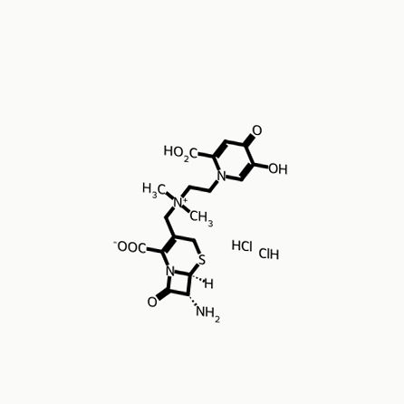 C[N+](C)(CCn1cc(O)c(=O)cc1C(=O)O)CC1=C(C(=O)[O-])N2C(=O)[C@@H](N)[C@@H]2SC1.Cl.Cl